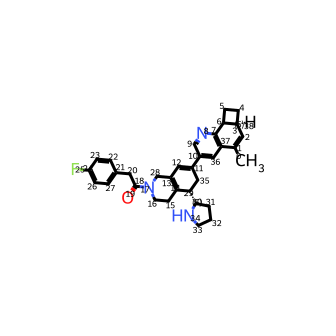 CC1=C[C@@H]2CCC2c2ncc(C3=CC4=C(CCN(C(=O)Cc5ccc(F)cc5)C4)C([C@@H]4CCCN4)C3)cc21